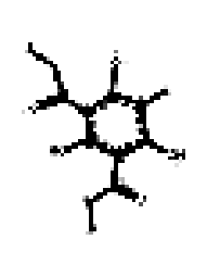 CCC(=O)c1c(O)c(C)c(O)c(C(=O)CC)c1O